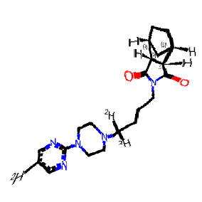 [2H]c1cnc(N2CCN(C([2H])([2H])CCCN3C(=O)[C@@H]4[C@@H]5CC[C@@H](C5)[C@@H]4C3=O)CC2)nc1